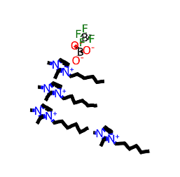 CCCCCC[n+]1ccn(C)c1C.CCCCCC[n+]1ccn(C)c1C.CCCCCC[n+]1ccn(C)c1C.CCCCCC[n+]1ccn(C)c1C.F[B-](F)(F)F.[O-]B([O-])[O-]